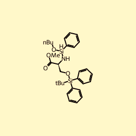 CCCCO[SiH](N[C@@H](CO[Si](c1ccccc1)(c1ccccc1)C(C)(C)C)C(=O)OC)c1ccccc1